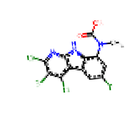 CN(C(=O)O)c1cc(F)cc2c1[nH]c1nc(Cl)c(Br)c(Cl)c12